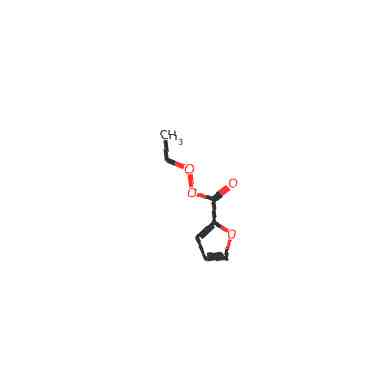 CCOOC(=O)c1ccco1